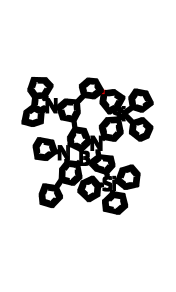 c1ccc(-c2cc(-c3cc4c5c(c3)N(c3ccccc3)c3cc(-c6ccccc6)ccc3B5c3cc([Si](c5ccccc5)(c5ccccc5)c5ccccc5)ccc3N4c3ccc([Si](c4ccccc4)(c4ccccc4)c4ccccc4)cc3)cc(-n3c4ccccc4c4ccccc43)c2)cc1